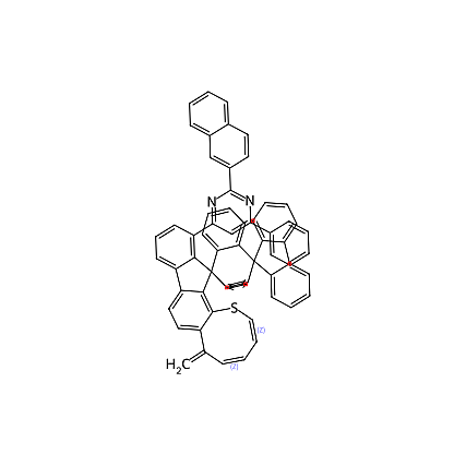 C=C1/C=C\C=C/Sc2c1ccc1c2C2(c3ccccc3C3(c4ccccc4-c4ccccc43)c3ccccc32)c2c(-c3cc(-c4ccccc4)nc(-c4ccc5ccccc5c4)n3)cccc2-1